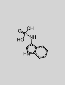 O=P(O)(O)Nc1c[nH]c2ccccc12